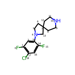 Fc1cc(N2CCC3(CCNCC3)C2)c(F)cc1Cl